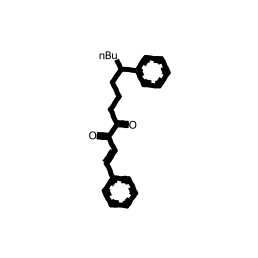 CCCCC(CCCC(=O)C(=O)/C=C/c1ccccc1)c1ccccc1